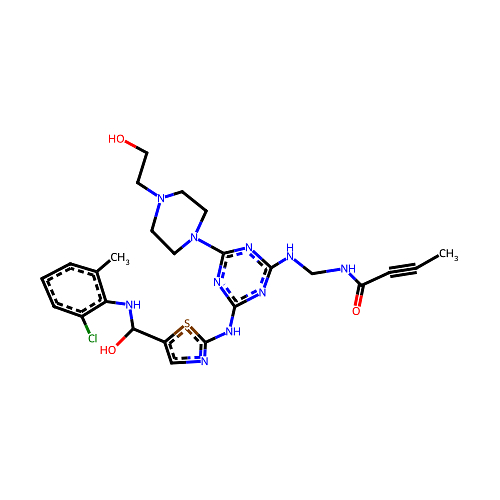 CC#CC(=O)NCNc1nc(Nc2ncc(C(O)Nc3c(C)cccc3Cl)s2)nc(N2CCN(CCO)CC2)n1